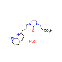 O.O=C(O)CCN1CCN(CCCc2ccc3c(n2)NCCC3)C1=O